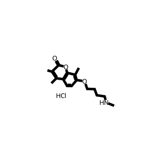 CNCCCCOc1ccc2c(C)c(C)c(=O)oc2c1C.Cl